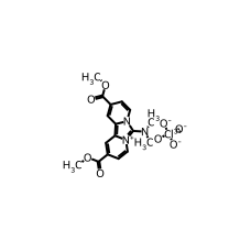 COC(=O)c1ccn2c(N(C)C)[n+]3ccc(C(=O)OC)cc3c2c1.[O-][Cl+3]([O-])([O-])[O-]